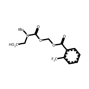 CC(C)(C)N(CC(=O)O)C(=O)OCOC(=O)c1ccccc1C(F)(F)F